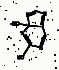 OC1=NC2(O)N=CN=C2C=N1